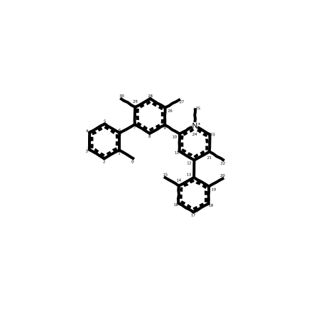 Cc1ccccc1-c1cc(-c2cc(-c3c(C)cccc3C)c(C)c[n+]2C)c(C)cc1C